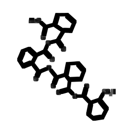 COC(=O)c1ccccc1C(=O)OC(=O)c1ccccc1C(=O)OC(=O)c1ccccc1C(=O)OC(=O)c1ccccc1C(=O)O